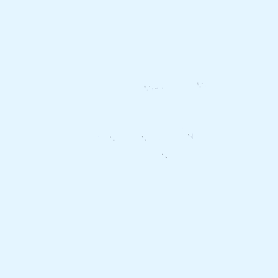 COc1cc2nc(-c3ccccc3)nc(N3CCN(c4ccccc4)CC3)c2cc1OC